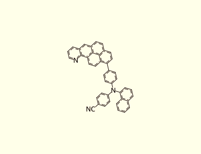 N#Cc1ccc(N(c2ccc(-c3ccc4ccc5cc6cccnc6c6ccc3c4c56)cc2)c2cccc3ccccc23)cc1